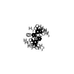 COc1c(C(C)(C)C)cc(C2=[C]([Zr+2][C]3=C(c4cc(C(C)(C)C)c(OC)c(C(C)(C)C)c4)C=CC3)CC=C2)cc1C(C)(C)C.[Cl-].[Cl-]